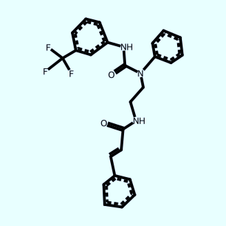 O=C(/C=C/c1ccccc1)NCCN(C(=O)Nc1cccc(C(F)(F)F)c1)c1ccccc1